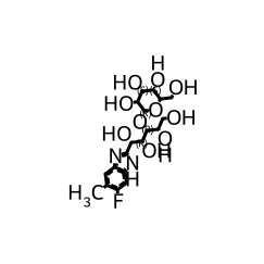 Cc1cc2nc(C(O)[C@@H](O)[C@H](O[C@H]3OC(CO)[C@@H](O)[C@H](O)C3O)C(O)CO)[nH]c2cc1F